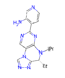 CC[C@@H]1c2nncn2-c2cnc(-c3ccncc3N)nc2N1C(C)C